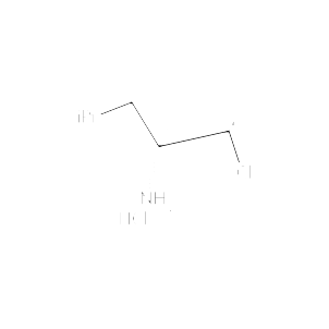 CC(C)C[C@@H](N)CCl.Cl